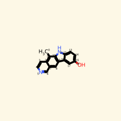 Cc1c2ccn[c]c2cc2c1[nH]c1ccc(O)cc12